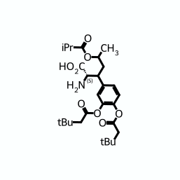 CC(CC(c1ccc(OC(=O)CC(C)(C)C)c(OC(=O)CC(C)(C)C)c1)[C@H](N)C(=O)O)OC(=O)C(C)C